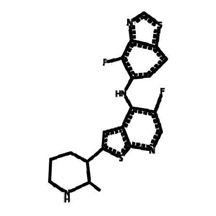 CC1NCCCC1c1cc2c(Nc3ccc4scnc4c3F)c(F)cnc2s1